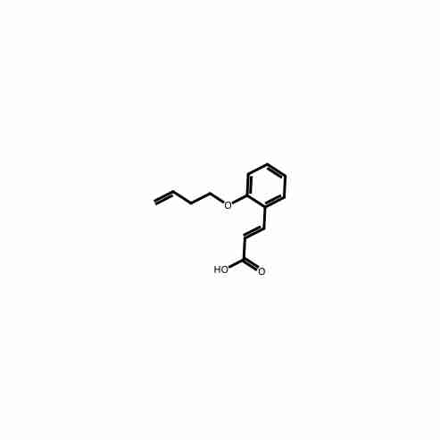 C=CCCOc1ccccc1/C=C/C(=O)O